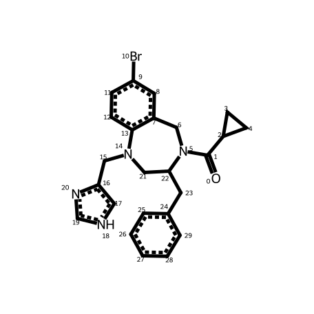 O=C(C1CC1)N1Cc2cc(Br)ccc2N(Cc2c[nH]cn2)CC1Cc1ccccc1